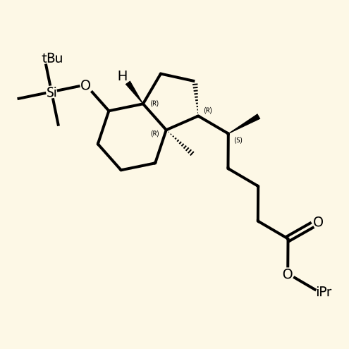 CC(C)OC(=O)CCC[C@H](C)[C@H]1CC[C@H]2C(O[Si](C)(C)C(C)(C)C)CCC[C@]12C